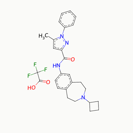 Cc1cc(C(=O)Nc2ccc3c(c2)CCN(C2CCC2)CC3)nn1-c1ccccc1.O=C(O)C(F)(F)F